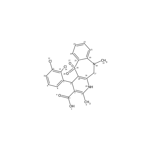 CC1=C(C(=O)O)C(c2cccc(Cl)c2Cl)C2=C(CN(C)c3ccccc3S2(=O)=O)N1